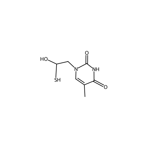 Cc1cn(CC(O)S)c(=O)[nH]c1=O